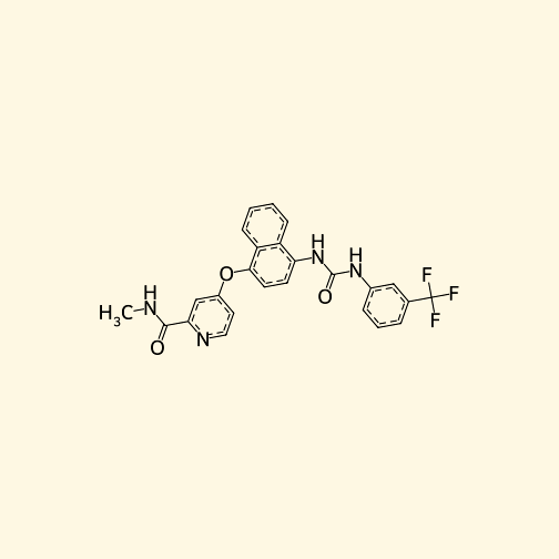 CNC(=O)c1cc(Oc2ccc(NC(=O)Nc3cccc(C(F)(F)F)c3)c3ccccc23)ccn1